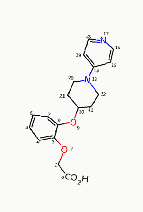 O=C(O)COc1ccccc1OC1CCN(c2ccncc2)CC1